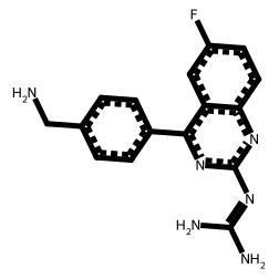 NCc1ccc(-c2nc(N=C(N)N)nc3ccc(F)cc23)cc1